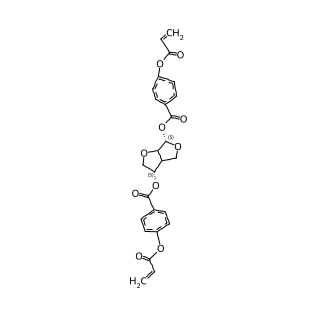 C=CC(=O)Oc1ccc(C(=O)O[C@@H]2OCC3C2OC[C@H]3OC(=O)c2ccc(OC(=O)C=C)cc2)cc1